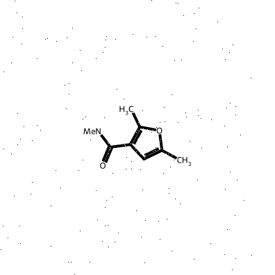 CNC(=O)c1cc(C)oc1C